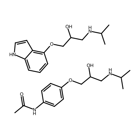 CC(=O)Nc1ccc(OCC(O)CNC(C)C)cc1.CC(C)NCC(O)COc1cccc2[nH]ccc12